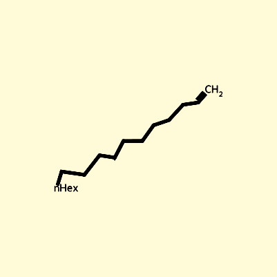 C=CCCCCC[CH]CCCCCCCCC